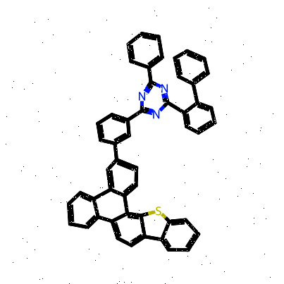 c1ccc(-c2nc(-c3cccc(-c4ccc5c(c4)c4ccccc4c4ccc6c7ccccc7sc6c45)c3)nc(-c3ccccc3-c3ccccc3)n2)cc1